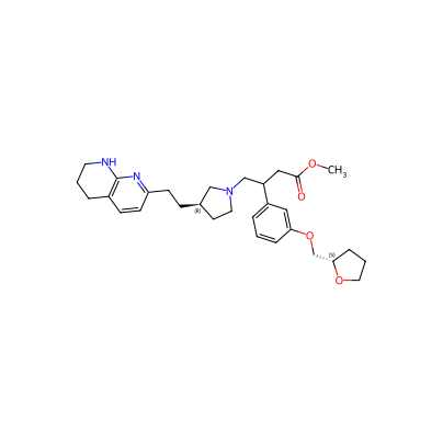 COC(=O)CC(CN1CC[C@@H](CCc2ccc3c(n2)NCCC3)C1)c1cccc(OC[C@@H]2CCCO2)c1